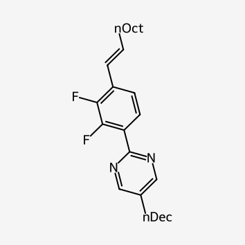 CCCCCCCCC=Cc1ccc(-c2ncc(CCCCCCCCCC)cn2)c(F)c1F